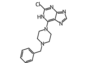 Clc1nc2ncnc-2c(N2CCN(Cc3ccccc3)CC2)[nH]1